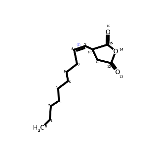 CCCCCCCC/C=C\C1CC(=O)OC1=O